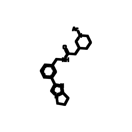 CC(=O)N1CCCC(CC(=O)NCc2cccc(-c3cn4c(n3)CCC4)c2)C1